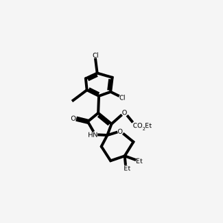 CCOC(=O)OC1=C(c2c(C)cc(Cl)cc2Cl)C(=O)NC12CCC(CC)(CC)CO2